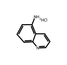 Cl.Nc1cccc2ncccc12